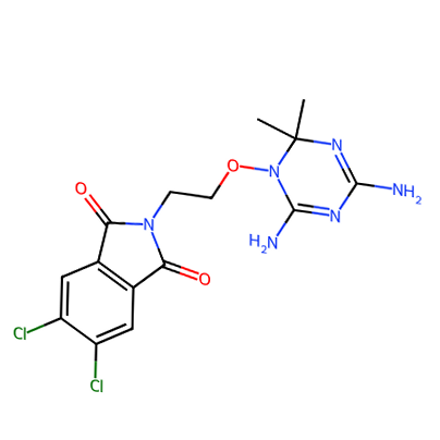 CC1(C)N=C(N)N=C(N)N1OCCN1C(=O)c2cc(Cl)c(Cl)cc2C1=O